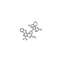 CC(=O)[C@@H]1C[C@H](Oc2ncc(Cl)cc2[C@@]2(O)CCOC[C@@H]2C)CN1c1nc(C(F)F)nc2c1oc1ccccc12